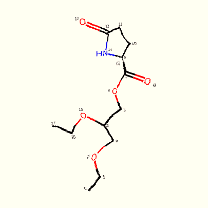 CCOCC(COC(=O)[C@@H]1CCC(=O)N1)OCC